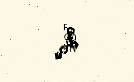 O=S(=O)(c1cccc(F)c1)N1CC(N2CCC(N3CCC3)CC2)c2ncccc21